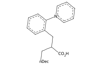 CCCCCCCCCCCC(Cc1ccccc1-[n+]1ccccc1)C(=O)O